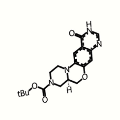 CC(C)(C)OC(=O)N1CCN2c3cc4c(=O)[nH]cnc4cc3OC[C@H]2C1